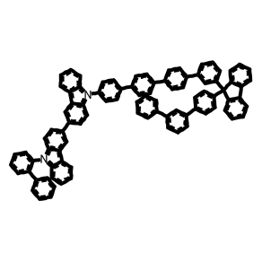 c1ccc(-c2cccc(-c3ccc(C4(c5cccc(-c6ccc(-c7ccc(-c8ccc(-n9c%10ccccc%10c%10cc(-c%11ccc%12c(c%11)c%11ccccc%11n%12-c%11ccccc%11-c%11ccccc%11)ccc%109)cc8)cc7)cc6)c5)c5ccccc5-c5ccccc54)cc3)c2)cc1